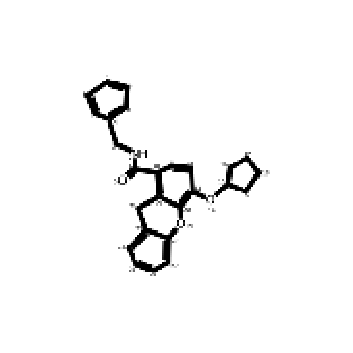 O=C(NCc1ccccc1)c1ccc(OC2CCCC2)c2c1Cc1ccccc1O2